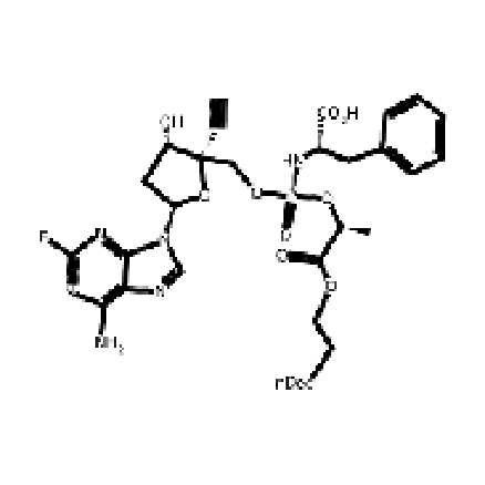 C#C[C@]1(CO[P@](=O)(N[C@@H](Cc2ccccc2)C(=O)O)O[C@@H](C)C(=O)OCCCCCCCCCCCC)O[C@@H](n2cnc3c(N)nc(F)nc32)C[C@@H]1O